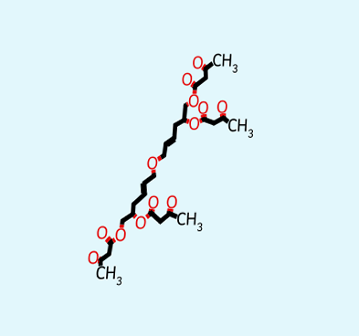 CC(=O)CC(=O)OCC(CC=CCOCC=CCC(COC(=O)CC(C)=O)OC(=O)CC(C)=O)OC(=O)CC(C)=O